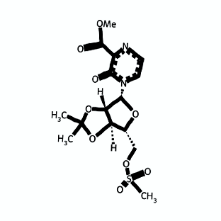 COC(=O)c1nccn([C@@H]2O[C@H](COS(C)(=O)=O)[C@H]3OC(C)(C)O[C@@H]32)c1=O